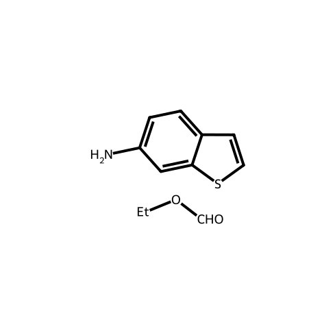 CCOC=O.Nc1ccc2ccsc2c1